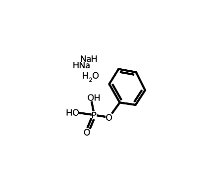 O.O=P(O)(O)Oc1ccccc1.[NaH].[NaH]